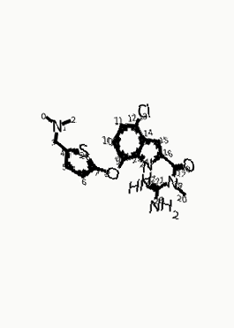 CN(C)Cc1ccc(Oc2ccc(Cl)c3cc(C(=O)N(C)C(=N)N)[nH]c23)s1